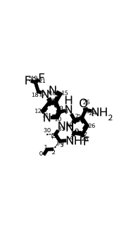 CCC[C@@H](Nc1nc(Nc2cncc3c2cnn3CC(F)F)c(C(N)=O)cc1F)[C@H](C)N